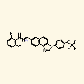 Fc1cccc(F)c1N/N=C/c1ccc2c(ccc3c2ncn3-c2ccc(OC(F)(F)F)cc2)c1